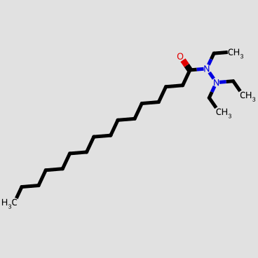 CCCCCCCCCCCCCCCC(=O)N(CC)N(CC)CC